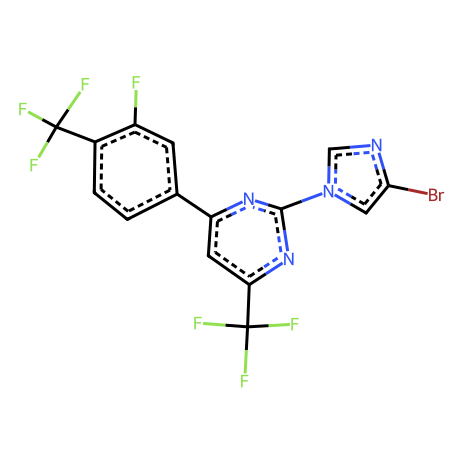 Fc1cc(-c2cc(C(F)(F)F)nc(-n3cnc(Br)c3)n2)ccc1C(F)(F)F